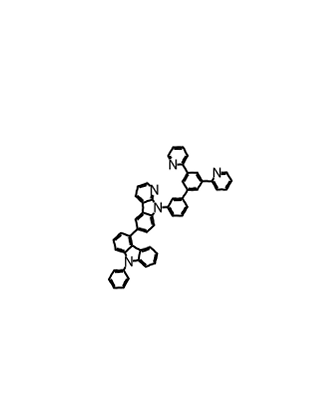 c1ccc(-n2c3ccccc3c3c(-c4ccc5c(c4)c4cccnc4n5-c4cccc(-c5cc(-c6ccccn6)cc(-c6ccccn6)c5)c4)cccc32)cc1